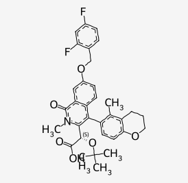 Cc1c(-c2c([C@H](OC(C)(C)C)C(=O)O)n(C)c(=O)c3cc(OCc4ccc(F)cc4F)ccc23)ccc2c1CCCO2